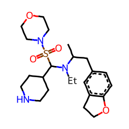 CCN(C(C)Cc1ccc2c(c1)CCO2)C(C1CCNCC1)S(=O)(=O)N1CCOCC1